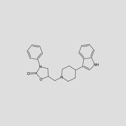 O=C1OC(CN2CCC(c3c[nH]c4ccccc34)CC2)CN1c1ccccc1